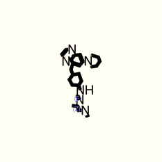 C=N/C=C(C)\N=C\NC1CCC(Cc2cc(N3CCCCC3)cc3nccnc23)CC1